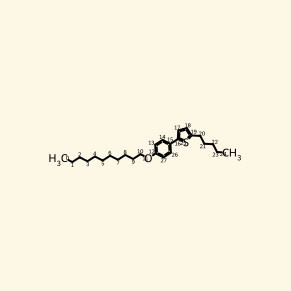 CCCCCCCCCCCOc1ccc(-c2ccc(CCCCC)s2)cc1